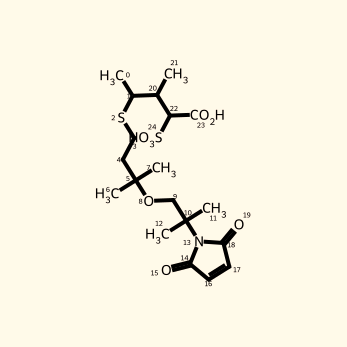 CC(SCCC(C)(C)OCC(C)(C)N1C(=O)C=CC1=O)C(C)C(C(=O)O)S(=O)(=O)O